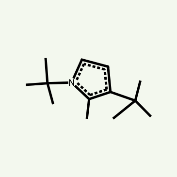 Cc1c(C(C)(C)C)ccn1C(C)(C)C